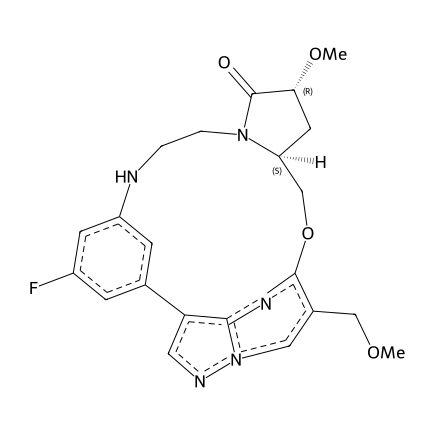 COCc1cn2ncc3c2nc1OC[C@@H]1C[C@@H](OC)C(=O)N1CCNc1cc(F)cc-3c1